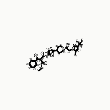 CCOC(=O)C(C(=O)Nc1csc(C2CCN(C(=O)Cn3nc(C(F)(F)F)cc3C)CC2)n1)C(=O)c1ccccc1